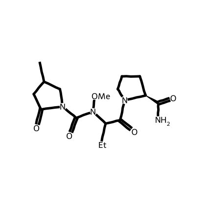 CCC(C(=O)N1CCC[C@H]1C(N)=O)N(OC)C(=O)N1CC(C)CC1=O